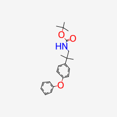 CC(C)(C)OC(=O)NCC(C)(C)c1ccc(Oc2ccccc2)cc1